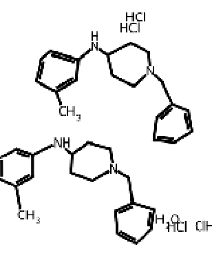 Cc1cccc(NC2CCN(Cc3ccccc3)CC2)c1.Cc1cccc(NC2CCN(Cc3ccccc3)CC2)c1.Cl.Cl.Cl.Cl.O